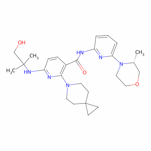 C[C@@H]1COCCN1c1cccc(NC(=O)c2ccc(NC(C)(C)CO)nc2N2CCC3(CC2)CC3)n1